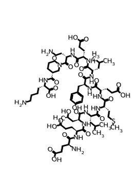 CSCC[C@H](NC(=O)[C@H](CC(C)C)NC(=O)[C@H](C[C@@H](C)O)NC(=O)[C@H](CCC(=O)O)NC(=O)[C@@H](N)CCC(=O)O)C(=O)N[C@@H](CCC(=O)O)C(=O)N[C@@H](Cc1ccc(O)cc1)C(=O)N[C@@H](CC(C)C)C(=O)N[C@@H](CCC(=O)O)C(=O)N[C@@H](CC(N)=O)C(=O)N1CCC[C@@H](C(=O)N[C@@H](CCCCN)C(=O)O)C1